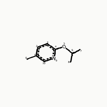 Cc1ccc(OC(C)C)nc1